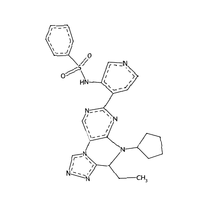 CCC1c2nncn2-c2cnc(-c3ccncc3NS(=O)(=O)c3ccccc3)nc2N1C1CCCC1